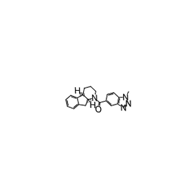 Cn1nnc2cc(C(=O)N3CCC[C@@H]4c5ccccc5C[C@@H]43)ccc21